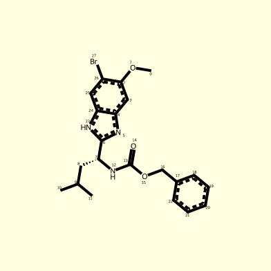 COc1cc2nc([C@@H](CC(C)C)NC(=O)OCc3ccccc3)[nH]c2cc1Br